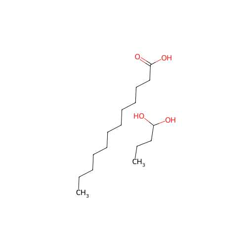 CCCC(O)O.CCCCCCCCCCCC(=O)O